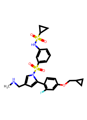 CNCc1cc(-c2ccc(OCC3CC3)cc2F)n(S(=O)(=O)c2cccc(NS(=O)(=O)C3CC3)c2)c1